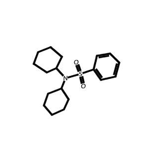 O=S(=O)(c1ccccc1)N(C1CCCCC1)C1CCCCC1